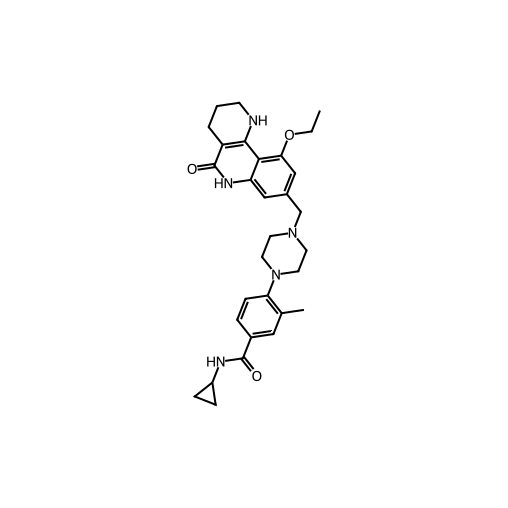 CCOc1cc(CN2CCN(c3ccc(C(=O)NC4CC4)cc3C)CC2)cc2[nH]c(=O)c3c(c12)NCCC3